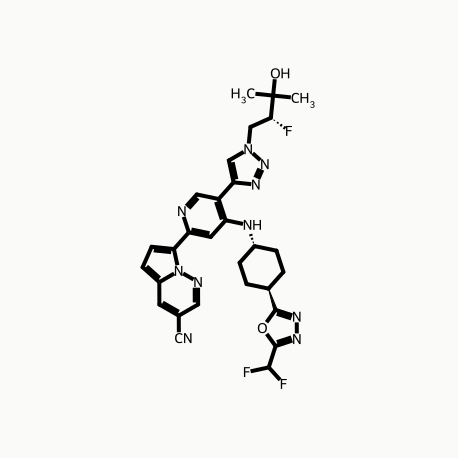 CC(C)(O)[C@H](F)Cn1cc(-c2cnc(-c3ccc4cc(C#N)cnn34)cc2N[C@H]2CC[C@H](c3nnc(C(F)F)o3)CC2)nn1